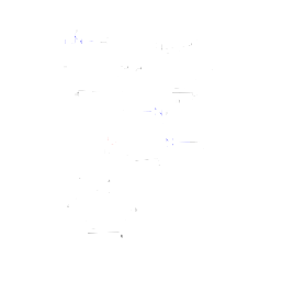 CN(CCc1ccccc1)N(C(=O)C1CCNCC1)c1ccccc1